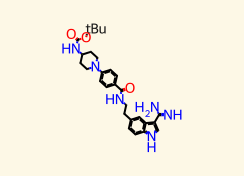 CC(C)(C)OC(=O)NC1CCN(c2ccc(C(=O)NCCc3ccc4[nH]cc(C(=N)N)c4c3)cc2)CC1